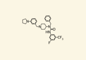 O=C(Nc1cc(F)cc(C(F)(F)F)c1)N(Cc1ccccc1)C1CCN(Cc2cccc(N3CCCC3)c2)CC1